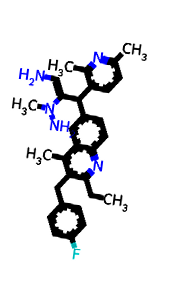 CCc1nc2ccc(C(/C(=C/N)N(C)N)c3ccc(C)nc3C)cc2c(C)c1Cc1ccc(F)cc1